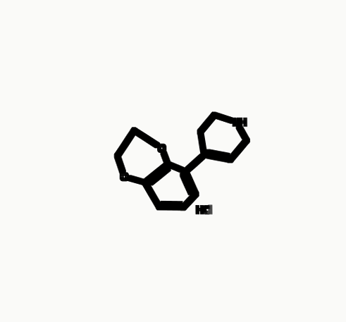 C1=C(c2cccc3c2OCCO3)CCNC1.Cl